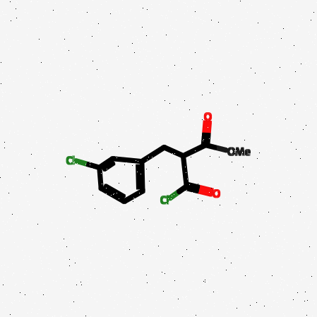 COC(=O)C(Cc1cccc(Cl)c1)C(=O)Cl